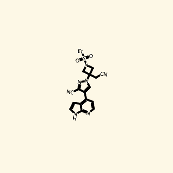 CCS(=O)(=O)N1CC(CC#N)(n2cc(-c3ccnc4[nH]ccc34)c(C#N)n2)C1